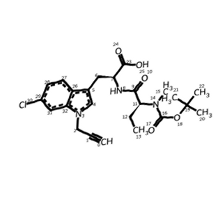 C#CCn1cc(C[C@H](NC(=O)[C@H](CC)N(C)C(=O)OC(C)(C)C)C(=O)O)c2ccc(Cl)cc21